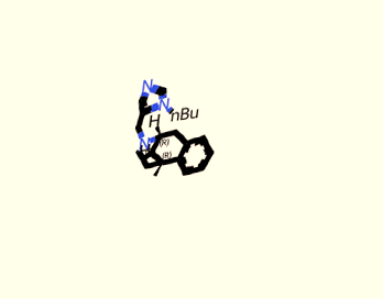 CCCCn1cncc1CN1CC[C@@]2(C)c3ccccc3C[C@@H]1[C@H]2C